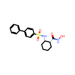 O=C(NO)[C@@H]1CCCC[C@@H]1NS(=O)(=O)c1ccc(-c2ccccc2)cc1